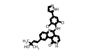 CC(C)(O)/C=C/c1ccc2nc(Nc3c(Cl)cc(-c4ccn[nH]4)cc3Cl)c3cc[nH]c(=O)c3c2c1